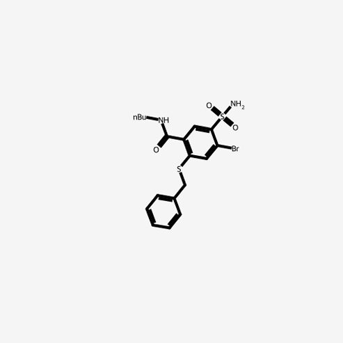 CCCCNC(=O)c1cc(S(N)(=O)=O)c(Br)cc1SCc1ccccc1